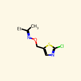 CC/C(C)=N/OCc1cnc(Cl)s1